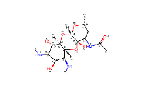 CN[C@@H]1[C@H](O)[C@H](NC)[C@H]2O[C@@]3(O)C(NC(C)=O)C[C@@H](C)O[C@H]3O[C@@H]2[C@H]1O